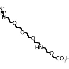 [N-]=[N+]=NCCOCCOCCOCCNCCOCC(=O)O